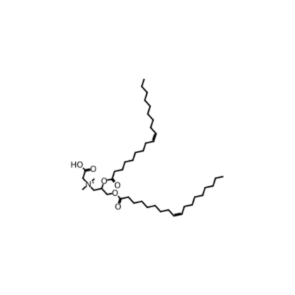 CCCCCCCC/C=C\CCCCCCCC(=O)OCC(C[N+](C)(C)CC(=O)O)OC(=O)CCCCCCC/C=C\CCCCCCCC